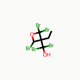 CCC1(C(O)(Br)Br)C(Br)OC1(Br)Br